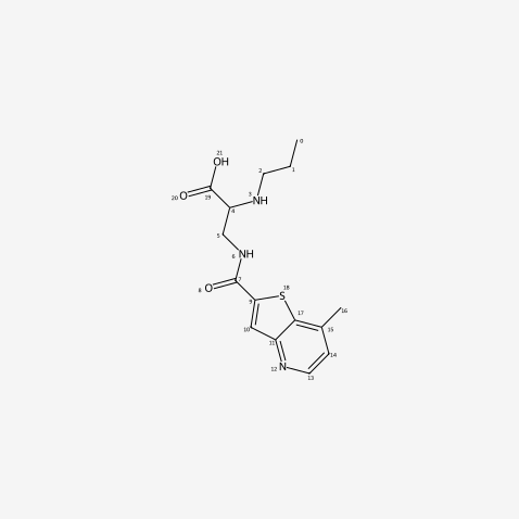 CCCNC(CNC(=O)c1cc2nccc(C)c2s1)C(=O)O